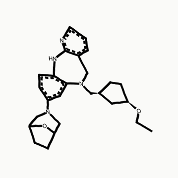 CCO[C@@H]1CC[C@H](CN2Cc3cccnc3Nc3ccc(N4CC5CCC(C4)O5)cc32)C1